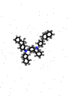 CC1(C)c2ccccc2-c2ccc(N(c3ccc4ccccc4c3)c3ccc4c(c3)c3ccccc3n4-c3ccc(-c4ccc5ccccc5c4)cc3)cc21